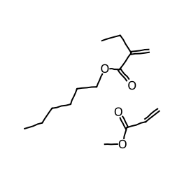 C=C(CC)C(=O)OCCCCCC.C=CC(=O)OC